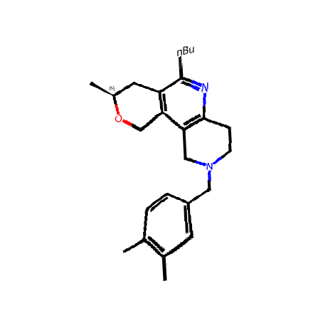 CCCCc1nc2c(c3c1C[C@H](C)OC3)CN(Cc1ccc(C)c(C)c1)CC2